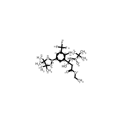 CCOC(=O)C[C@](O)(N[S@+]([O-])C(C)(C)C)c1cc(B2OC(C)(C)C(C)(C)O2)cc(C(F)(F)F)c1F